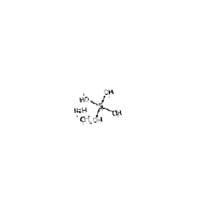 O[Si](O)(O)O.[CH].[NaH]